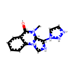 Cn1c(=O)c2ccccc2n2cnc(-n3ccnn3)c12